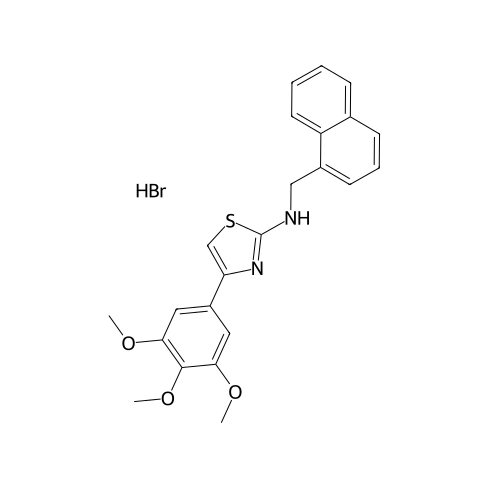 Br.COc1cc(-c2csc(NCc3cccc4ccccc34)n2)cc(OC)c1OC